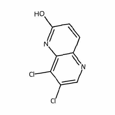 Oc1ccc2ncc(Cl)c(Cl)c2n1